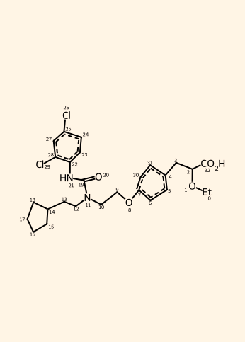 CCOC(Cc1ccc(OCCN(CCC2CCCC2)C(=O)Nc2ccc(Cl)cc2Cl)cc1)C(=O)O